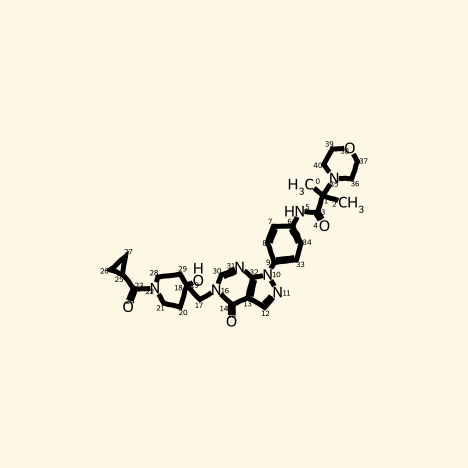 CC(C)(C(=O)Nc1ccc(-n2ncc3c(=O)n(CC4(O)CCN(C(=O)C5CC5)CC4)cnc32)cc1)N1CCOCC1